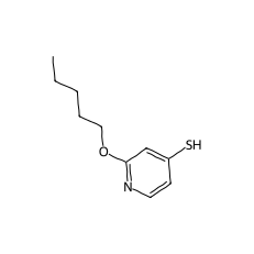 CCCCCOc1cc(S)ccn1